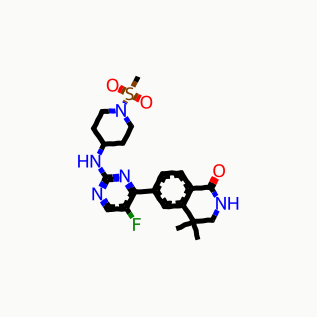 CC1(C)CNC(=O)c2ccc(-c3nc(NC4CCN(S(C)(=O)=O)CC4)ncc3F)cc21